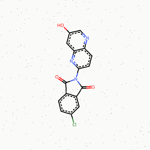 O=C1c2ccc(Cl)cc2C(=O)N1c1ccc2ncc(O)cc2n1